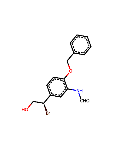 O=CNc1cc([C@@H](Br)CO)ccc1OCc1ccccc1